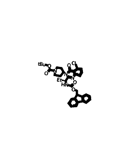 CC[C@H](NC(=O)OCC1c2ccccc2-c2ccccc21)c1nc2cccc(Cl)c2c(=O)n1C1CCN(C(=O)OC(C)(C)C)CC1